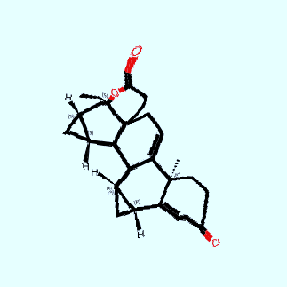 C[C@]12CCC(=O)C=C1[C@@H]1C[C@@H]1C1C2=CCC23CCC(=O)O[C@@]2(C)[C@H]2C[C@H]2C13